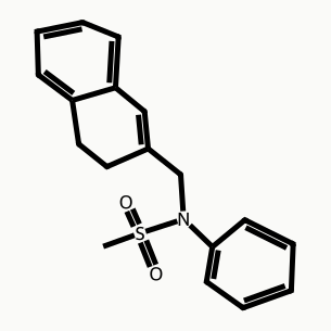 CS(=O)(=O)N(CC1=Cc2ccccc2CC1)c1ccccc1